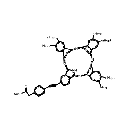 CCCCCCCc1cc2c(cc1CCCCCCC)-c1nc-2nc2[nH]c(nc3nc(nc4[nH]c(n1)c1cc(CCCCCCC)c(CCCCCCC)cc41)-c1cc(CCCCCCC)c(CCCCCCC)cc1-3)c1cc(C#Cc3ccc(CC(=O)OC)cc3)ccc21